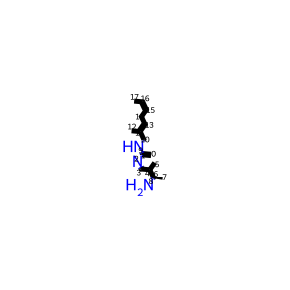 C=C(/N=C\C(C)[C@@H](C)N)NC/C(C)=C/C/C=C\C